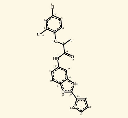 CC(Oc1ccc(Cl)cc1Cl)C(=O)Nc1ccc2oc(-c3cccs3)nc2c1